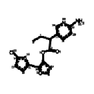 CCC(C(=O)Oc1ncoc1-c1ccc(Cl)s1)c1ccc(N)nc1